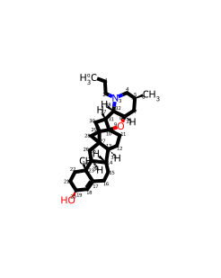 CCCN1C[C@@H](C)C[C@H]2OC34CC[C@H]5[C@@H]6CCC7=C[C@@H](O)CC[C@]7(C)[C@H]6CC56CC63C[C@@H]4[C@@H]21